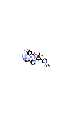 CCCN1CCCC(c2ccc(NC(=O)c3ccc(C)c(Nc4nccc(-c5cccnc5)n4)c3)c(C(F)(F)F)c2)C1